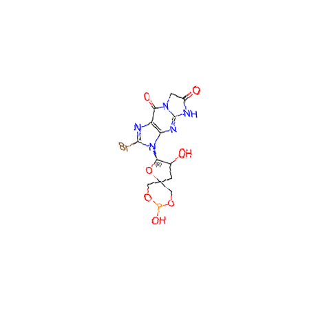 O=C1Cn2c(nc3c(nc(Br)n3[C@@H]3OC4(COP(O)OC4)CC3O)c2=O)N1